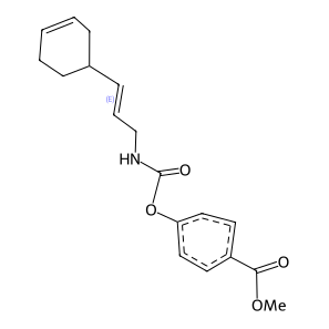 COC(=O)c1ccc(OC(=O)NC/C=C/C2CC=CCC2)cc1